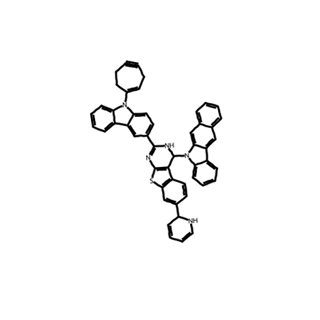 C1#CCCC(n2c3ccccc3c3cc(C4=Nc5sc6cc(C7C=CC=CN7)ccc6c5C(n5c6ccccc6c6cc7ccccc7cc65)N4)ccc32)=CC1